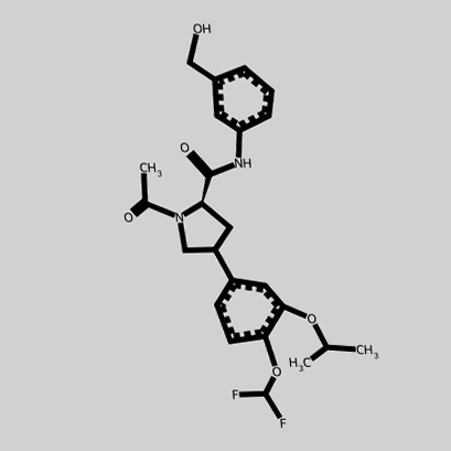 CC(=O)N1CC(c2ccc(OC(F)F)c(OC(C)C)c2)C[C@@H]1C(=O)Nc1cccc(CO)c1